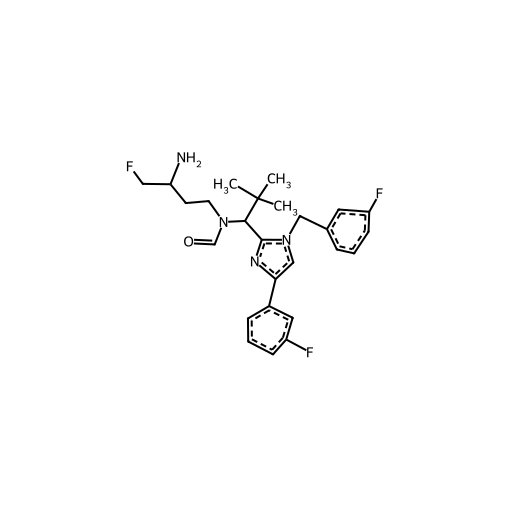 CC(C)(C)C(c1nc(-c2cccc(F)c2)cn1Cc1cccc(F)c1)N(C=O)CCC(N)CF